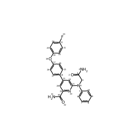 NC(=O)CN(c1ccccc1)c1cc(-c2ccc(Oc3ccc(F)cc3)cc2)cc(C(N)=O)n1